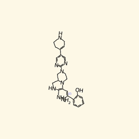 NC1=C(/C=C(\N)c2ccccc2O)N2CCN(c3ncc(C4=CCNCC4)cn3)CC2CN1